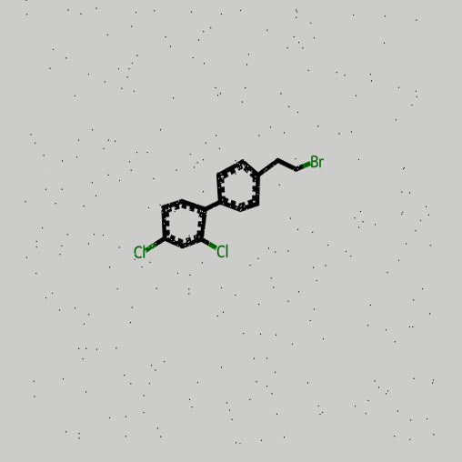 Clc1ccc(-c2ccc(CCBr)cc2)c(Cl)c1